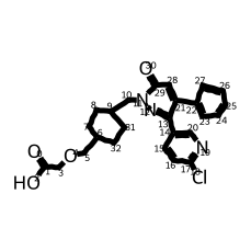 O=C(O)COCC1CCC(Cn2nc(-c3ccc(Cl)nc3)c(-c3ccccc3)cc2=O)CC1